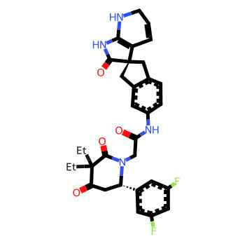 CCC1(CC)C(=O)C[C@@H](c2cc(F)cc(F)c2)N(CC(=O)Nc2ccc3c(c2)C[C@@]2(C3)C(=O)NC3=C2C=CCN3)C1=O